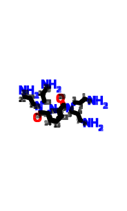 NCCCN(CCCN)C(=O)c1cccc(C(=O)N(CCCN)CCCN)n1